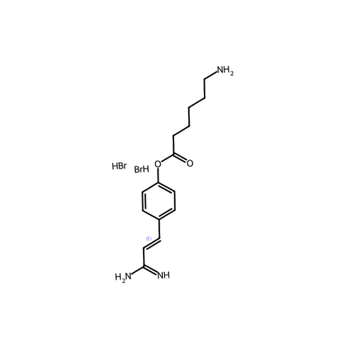 Br.Br.N=C(N)/C=C/c1ccc(OC(=O)CCCCCN)cc1